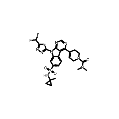 CN(C)C(=O)N1CC=C(c2ncnc3c2c2ccc(S(=O)(=O)NC4(C)CC4)cc2n3-c2nnc(C(F)F)s2)CC1